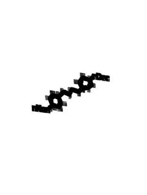 CCCCCCCCCCc1ccc(C=CC=Cc2ccc(CCCCCCCCC)cc2)cc1